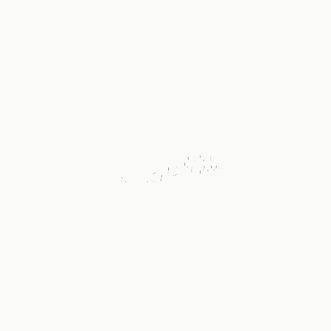 CNC(=O)C(C(=O)NO)N(C)C(=O)c1ccc(-c2ccc(OCCCN3CCCOCC3)cc2)cc1